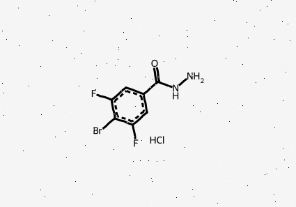 Cl.NNC(=O)c1cc(F)c(Br)c(F)c1